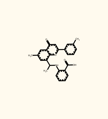 Cc1cccc(-c2cc(=O)c3cc(C)cc(C(C)Nc4ccccc4C(=O)O)c3o2)c1